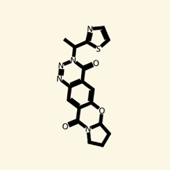 CC(c1nccs1)n1nnc2cc3c(cc2c1=O)OC1CCCN1C3=O